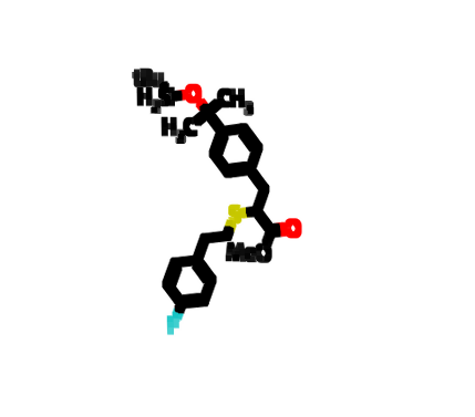 COC(=O)C(Cc1ccc(C(C)(C)O[SiH2]C(C)(C)C)cc1)SCCc1ccc(F)cc1